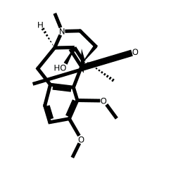 COc1ccc2c(c1OC)[C@]13CCN(C)[C@H](C2)[C@]1(O)CCC(=O)[C@H]3C